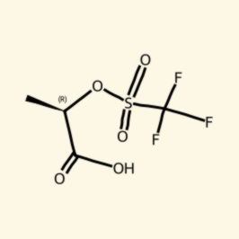 C[C@@H](OS(=O)(=O)C(F)(F)F)C(=O)O